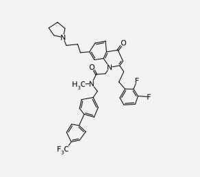 CN(Cc1ccc(-c2ccc(C(F)(F)F)cc2)cc1)C(=O)Cn1c(CCc2cccc(F)c2F)cc(=O)c2ccc(CCCN3CCCC3)cc21